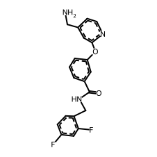 NCc1ccnc(Oc2cccc(C(=O)NCc3ccc(F)cc3F)c2)c1